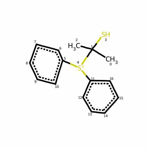 CC(C)(S)[S+](c1ccccc1)c1ccccc1